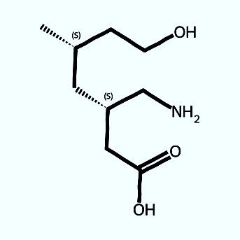 C[C@H](CCO)C[C@H](CN)CC(=O)O